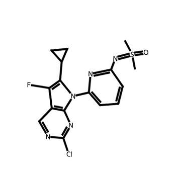 CS(C)(=O)=Nc1cccc(-n2c(C3CC3)c(F)c3cnc(Cl)nc32)n1